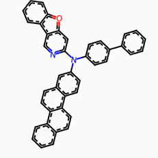 c1ccc(-c2ccc(N(c3ccc4c(ccc5c6ccccc6ccc45)c3)c3cc4oc5ccccc5c4cn3)cc2)cc1